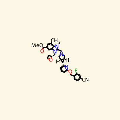 COC(=O)c1cc(C)c2nc(CN3C[C@@H]4[C@H](C3)[C@H]4c3cccc(OCc4ccc(C#N)cc4F)n3)n(C[C@@H]3CCO3)c2c1